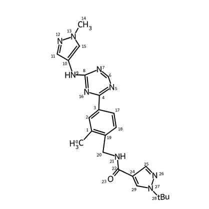 Cc1cc(-c2ncnc(Nc3cnn(C)c3)n2)ccc1CNC(=O)c1cnn(C(C)(C)C)c1